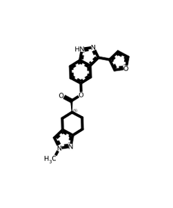 Cn1cc2c(n1)CC[C@H](C(=O)Oc1ccc3[nH]nc(-c4ccoc4)c3c1)C2